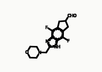 O=CC1Cc2c(c(F)c3[nH]c(CN4CCOCC4)nc3c2F)C1